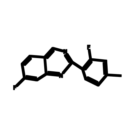 Cc1ccc(-c2ncc3ccc(F)cc3n2)c(F)c1